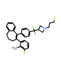 Cc1c(F)cccc1C1=C(c2ccc(C(F)(F)C3CN(CCCF)C3)cc2)c2ccccc2CCC1